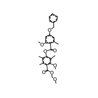 COCOC(=O)c1c(C)c(C)c(OC(=O)c2c(C)cc(OCc3ccccc3)cc2OC)c(C)c1OC